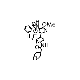 COc1ncc(-c2sc(NC(=O)CC3CCOCC3)nc2C)cc1NS(=O)(=O)c1ccccc1